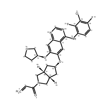 C=CC(=O)N1C[C@H]2C[C@H](Oc3cc4c(Nc5ccc(F)c(Cl)c5F)ncnc4cc3O[C@H]3CCOC3)C[C@H]2C1